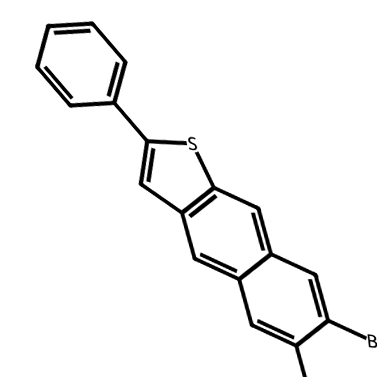 Oc1cc2cc3cc(-c4ccccc4)sc3cc2cc1Br